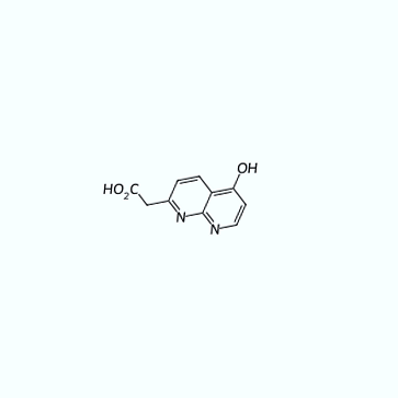 O=C(O)Cc1ccc2c(O)ccnc2n1